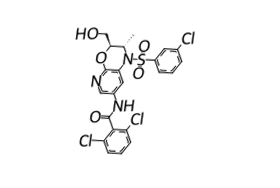 C[C@H]1[C@H](CO)Oc2ncc(NC(=O)c3c(Cl)cccc3Cl)cc2N1S(=O)(=O)c1cccc(Cl)c1